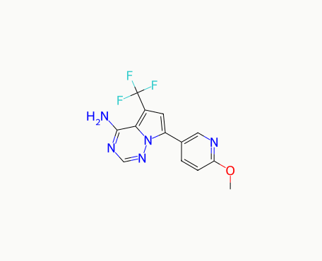 COc1ccc(-c2cc(C(F)(F)F)c3c(N)ncnn23)cn1